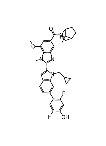 COc1cc(C(=O)N2CC3CCC2[C@@H]3C)cc2nc(-c3cc4ccc(-c5cc(F)c(O)cc5F)cc4n3CC3CC3)n(C)c12